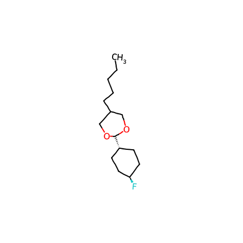 CCCCCC1COC([C@H]2CC[C@H](F)CC2)OC1